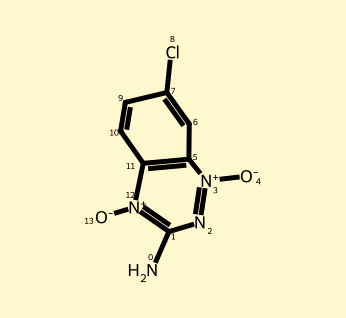 Nc1n[n+]([O-])c2cc(Cl)ccc2[n+]1[O-]